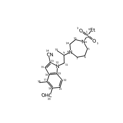 CCS(=O)(=O)N1CCCN(C(C)Cn2c(C#N)cc3c(C)c(C=O)ccc32)CC1